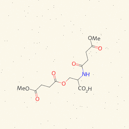 COC(=O)CCC(=O)NC(COC(=O)CCC(=O)OC)C(=O)O